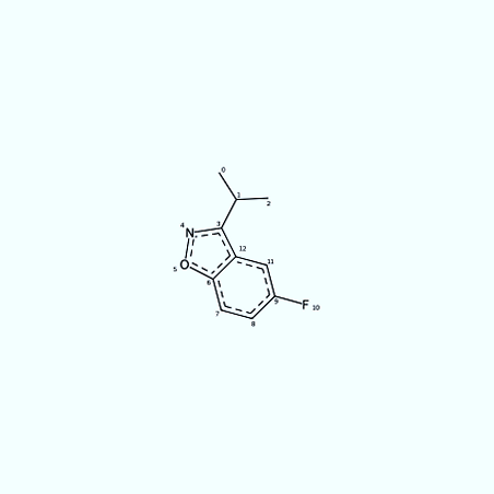 CC(C)c1noc2ccc(F)cc12